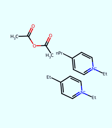 CC(=O)OC(C)=O.CCCc1cc[n+](CC)cc1.CCc1cc[n+](CC)cc1